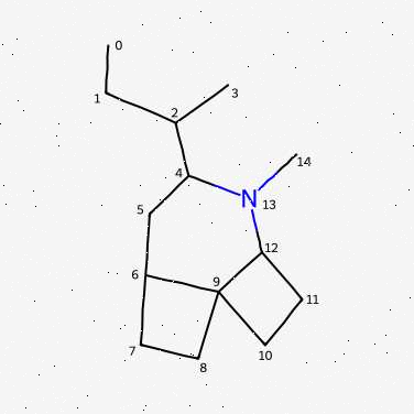 CCC(C)C1CC2CCC23CCC3N1C